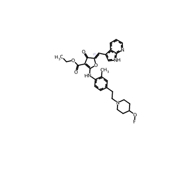 CCOC(=O)C1=C(Nc2ccc(CCN3CCC(OF)CC3)cc2C)O/C(=C\c2c[nH]c3ncccc23)C1=O